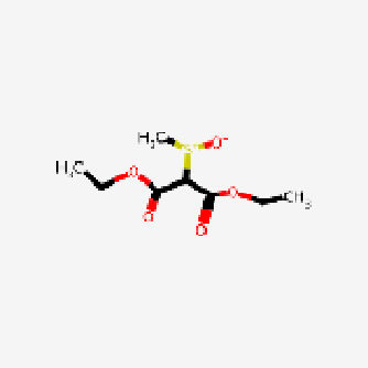 CCOC(=O)C(C(=O)OCC)[S+](C)[O-]